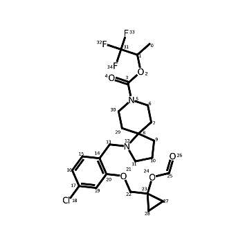 CC(OC(=O)N1CCC2(CCCN2Cc2ccc(Cl)cc2OCC2(OC=O)CC2)CC1)C(F)(F)F